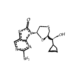 Nc1ncc2sc(=O)n([C@H]3CS[C@@H]([C@@H](O)C4CC4)O3)c2n1